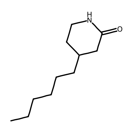 CCCCCCC1CCNC(=O)C1